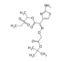 CCS(=O)(=O)C(C)OC(=O)C(=NOCC(=O)OC(C)(C)C)c1csc(N)n1